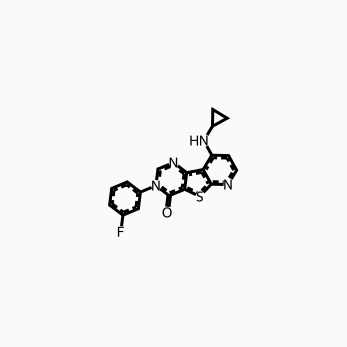 O=c1c2sc3nccc(NC4CC4)c3c2ncn1-c1cccc(F)c1